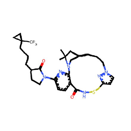 CC1(C)CC2CCCn3ccc(n3)SNC(=O)c3ccc(N4CCC(CCCC5(C(F)(F)F)CC5)C4=O)nc3N1C2